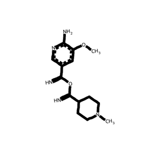 COc1cc(C(=N)OC(=N)C2CCN(C)CC2)cnc1N